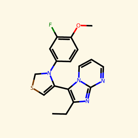 CCc1nc2ncccn2c1C1=CSCN1c1ccc(OC)c(F)c1